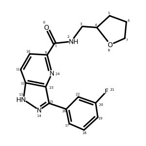 O=C(NCC1CCCO1)c1ccc2[nH]nc(-c3cccc(F)c3)c2n1